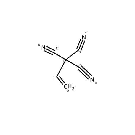 C=CC(C#N)(C#N)C#N